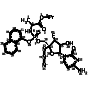 CC(C)OC(=O)[C@H](C)NP(=S)(OC[C@@]1(N=[N+]=[N-])O[C@@H](n2ccc(N)nc2=O)[C@H](O)[C@@H]1F)Oc1cccc2ccccc12